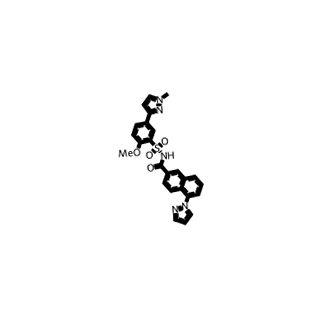 COc1ccc(-c2ccn(C)n2)cc1S(=O)(=O)NC(=O)c1ccc2c(-n3cccn3)cccc2c1